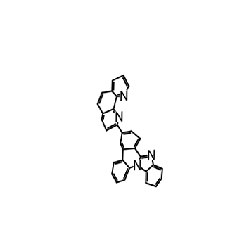 c1cnc2c(c1)ccc1ccc(-c3ccc4c(c3)c3ccccc3n3c5ccccc5nc43)nc12